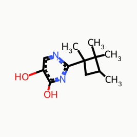 CC1CC(C)(c2ncc(O)c(O)n2)C1(C)C